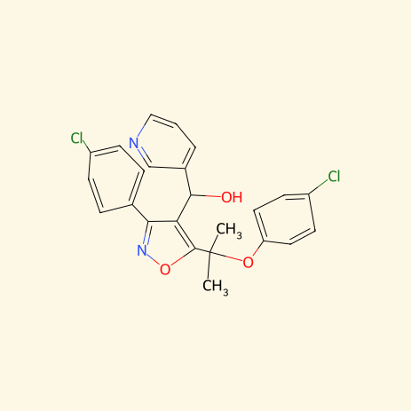 CC(C)(Oc1ccc(Cl)cc1)c1onc(-c2ccc(Cl)cc2)c1C(O)c1cccnc1